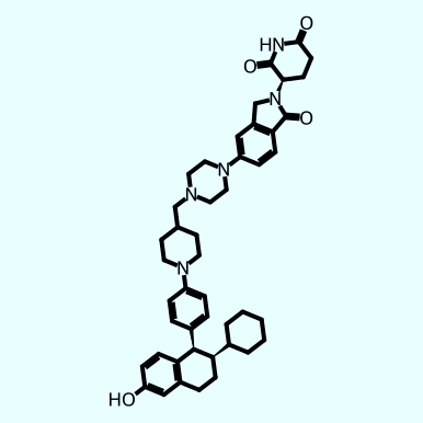 O=C1CC[C@@H](N2Cc3cc(N4CCN(CC5CCN(c6ccc([C@@H]7c8ccc(O)cc8CC[C@@H]7C7CCCCC7)cc6)CC5)CC4)ccc3C2=O)C(=O)N1